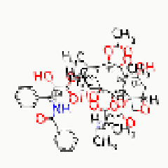 C/C=C(\C)C(=O)O[C@@H]1[C@H]2C3(OC(C)=O)CO[C@@H]3C[C@H](O)[C@@]2(C)C(=O)[C@H](OC(C)=O)C2=C(C)[C@H](OC(=O)[C@@H](O)[C@H](NC(=O)c3ccccc3)c3ccccc3)C[C@]1(O)C2(C)C